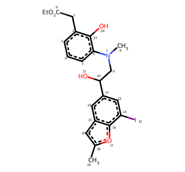 CCOC(=O)Cc1cccc(N(C)CC(O)c2cc(I)c3oc(C)cc3c2)c1O